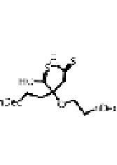 CCCCCCCCCCCCOC(CCCCCCCCCCCC)(CC(O)=S)C(O)=S